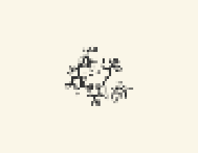 NC(CSSCC(N)C(=O)O)C(=O)O.Nc1nc2c(ncn2[C@@H]2O[C@H](CO)[C@@H](O)[C@H]2O)c(=O)[nH]1.O=P(O)(O)O